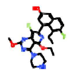 CCOc1nc(-c2cc(O)cc3ccc(F)c(CC)c23)c(F)c2nc(OC)nc(N3CCNCC3)c12